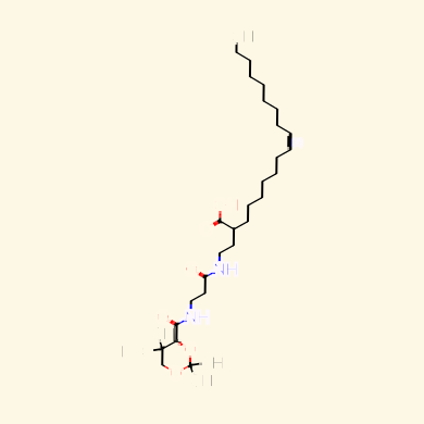 CCCCCCCC/C=C\CCCCCCC(CCNC(=O)CCNC(=O)C1OC(C)(C)OCC1(C)C)C(=O)O